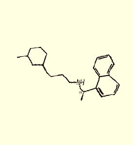 CC1CCCC(CCCN[C@H](C)c2cccc3ccccc23)C1